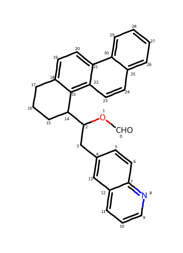 O=COC(Cc1ccc2ncccc2c1)C1CCCc2ccc3c(ccc4ccccc43)c21